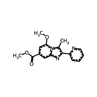 COC(=O)c1cc(OC)n2c(C)c(-c3ccccn3)nc2c1